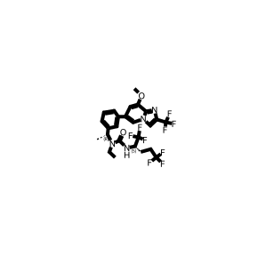 CCN(C(=O)N[C@@H](CCC(F)(F)F)C(F)(F)F)[C@H](C)c1cccc(-c2cc(OC)c3nc(C(F)(F)F)cn3c2)c1